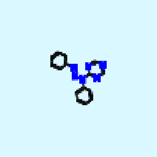 c1ccc(N=NN(c2ccccc2)c2ncncn2)cc1